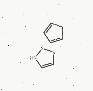 C1=CCC=C1.C1=CSSN1